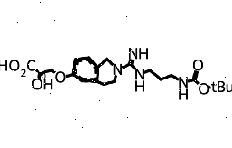 CC(C)(C)OC(=O)NCCCNC(=N)N1CCc2cc(OC[C@@H](O)C(=O)O)ccc2C1